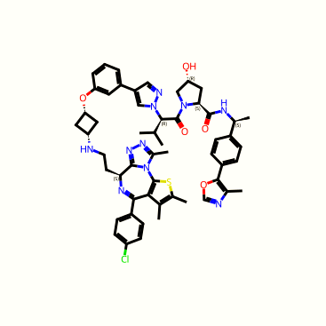 Cc1ncoc1-c1ccc([C@H](C)NC(=O)[C@@H]2C[C@@H](O)CN2C(=O)[C@@H](C(C)C)n2cc(-c3cccc(O[C@H]4C[C@@H](NCC[C@@H]5N=C(c6ccc(Cl)cc6)c6c(sc(C)c6C)-n6c(C)nnc65)C4)c3)cn2)cc1